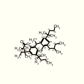 C=CC(=O)Oc1c(C(C)c2cc(C(C)(C)CCC)cc(CC(C)CC)c2O)cc(C(C)(C)CCC)cc1C(C)(C)CC